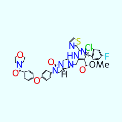 COC(=O)C1=C(CN2CCN3C(=O)N(c4ccc(Oc5ccc(C(=O)N6CCOCC6)cc5)cc4)C[C@@H]3C2)NC(c2nccs2)=N[C@H]1c1ccc(F)cc1Cl